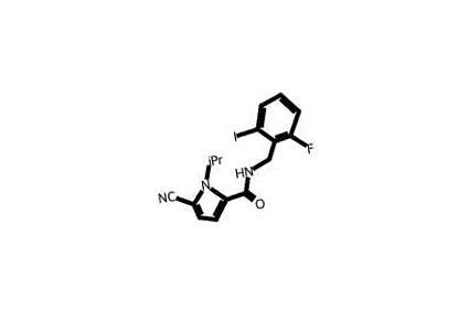 CC(C)n1c(C#N)ccc1C(=O)NCc1c(F)cccc1I